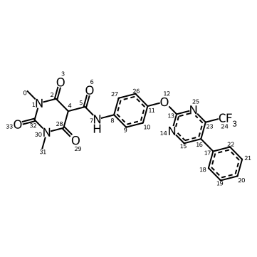 CN1C(=O)C(C(=O)Nc2ccc(Oc3ncc(-c4ccccc4)c(C(F)(F)F)n3)cc2)C(=O)N(C)C1=O